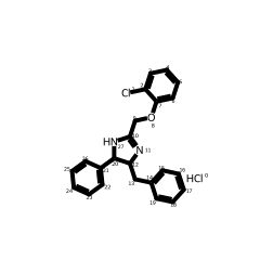 Cl.Clc1ccccc1OCC1=NC(Cc2ccccc2)C(c2ccccc2)N1